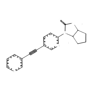 O=C1O[C@H]2CCC[C@H]2N1c1ccc(C#Cc2cccnc2)cn1